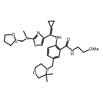 COCCNC(=O)c1cc(CN2CCOCC2(C)C)ccc1NC(=C1CC1)c1csc(N(C)C[C@H]2CCCO2)n1